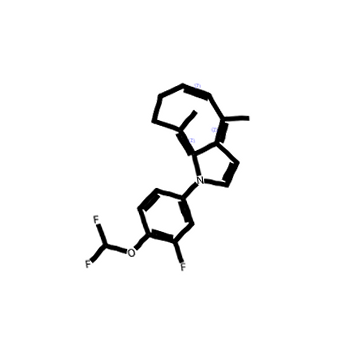 CC1=c2\ccn(-c3ccc(OC(F)F)c(F)c3)\c2=C(\C)CC/C=C\1